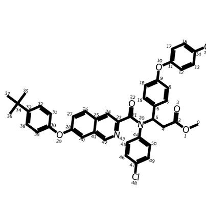 COC(=O)CC(c1ccc(Oc2ccc(Cl)cc2)cc1)N(C(=O)c1cc2ccc(Oc3ccc(C(C)(C)C)cc3)cc2cn1)c1ccc(Cl)cc1